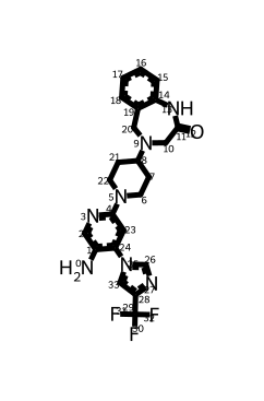 Nc1cnc(N2CCC(N3CC(=O)Nc4ccccc4C3)CC2)cc1-n1cnc(C(F)(F)F)c1